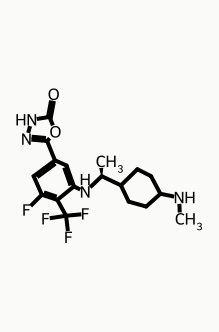 CNC1CCC([C@H](C)Nc2cc(-c3n[nH]c(=O)o3)cc(F)c2C(F)(F)F)CC1